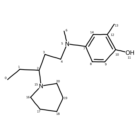 CCC(CCN(C)c1ccc(O)c(C)c1)N1CCCCC1